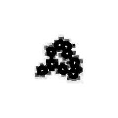 c1ccc(-c2nc(-c3ccccc3)nc(-c3ccc(-c4cccc5oc6ccc(-c7ccc8c(ccc9ccccc98)c7)cc6c45)cc3)n2)cc1